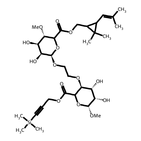 CO[C@@H]1OC(C(=O)OCC#C[Si](C)(C)C)[C@@H](OCCO[C@@H]2OC(C(=O)OCC3C(C=C(C)C)C3(C)C)[C@@H](OC)[C@H](O)[C@@H]2O)[C@H](O)[C@@H]1O